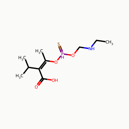 CCNCO[PH](=S)OC(C)=C(C(=O)O)C(C)C